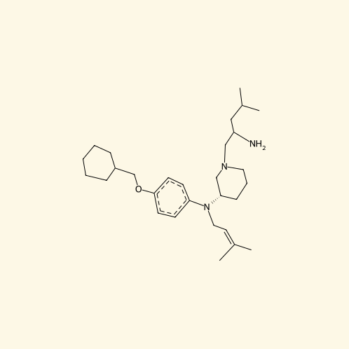 CC(C)=CCN(c1ccc(OCC2CCCCC2)cc1)[C@H]1CCCN(CC(N)CC(C)C)C1